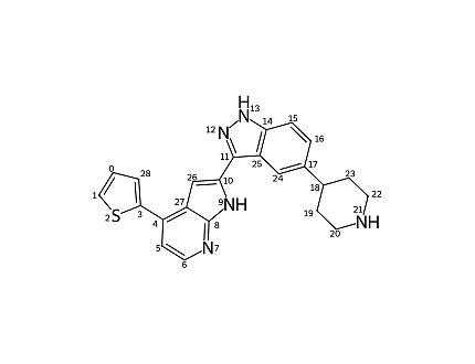 c1csc(-c2ccnc3[nH]c(-c4n[nH]c5ccc(C6CCNCC6)cc45)cc23)c1